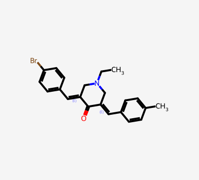 CCN1C/C(=C\c2ccc(C)cc2)C(=O)/C(=C/c2ccc(Br)cc2)C1